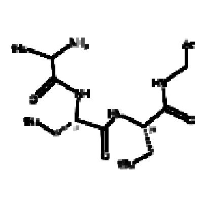 CC(=O)CNC(=O)[C@H](CC(C)(C)C)NC(=O)[C@H](CC(C)(C)C)NC(=O)C(N)C(C)(C)C